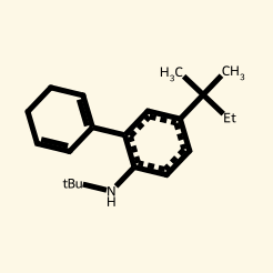 CCC(C)(C)c1ccc(NC(C)(C)C)c(C2=CCCC=C2)c1